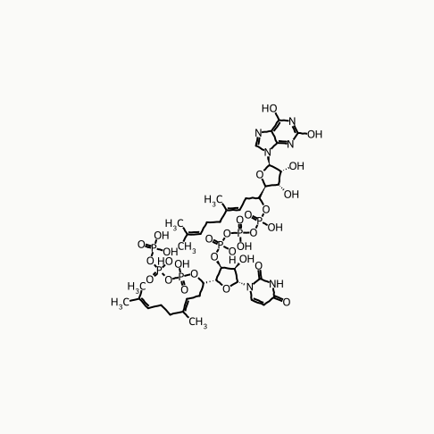 CC(C)=CCC/C(C)=C/CC(OP(=O)(O)OP(=O)(O)OP(=O)(O)O[C@H]1[C@@H](O)[C@H](n2ccc(=O)[nH]c2=O)O[C@@H]1C(C/C=C(\C)CCC=C(C)C)OP(=O)(O)OP(=O)(O)OP(=O)(O)O)[C@H]1O[C@@H](n2cnc3c(O)nc(O)nc32)[C@H](O)[C@@H]1O